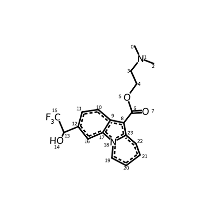 CN(C)CCOC(=O)c1c2ccc(C(O)C(F)(F)F)cc2n2ccccc12